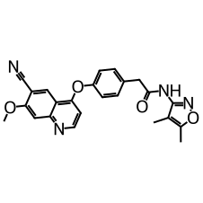 COc1cc2nccc(Oc3ccc(CC(=O)Nc4noc(C)c4C)cc3)c2cc1C#N